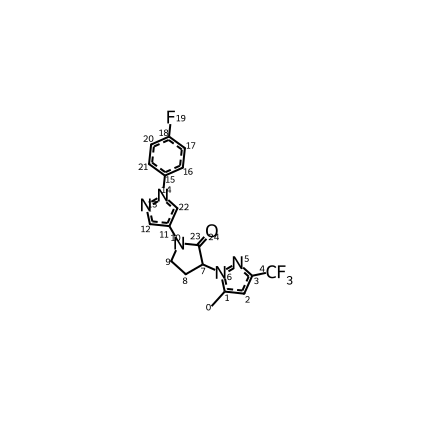 Cc1cc(C(F)(F)F)nn1C1CCN(c2cnn(-c3ccc(F)cc3)c2)C1=O